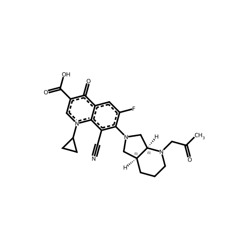 CC(=O)CN1CCC[C@H]2CN(c3c(F)cc4c(=O)c(C(=O)O)cn(C5CC5)c4c3C#N)C[C@H]21